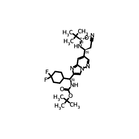 CC(C)(C)OC(=O)N[C@H](c1cn2ncc([C@H](CC#N)N[S@+]([O-])C(C)(C)C)cc2n1)C1CCC(F)(F)CC1